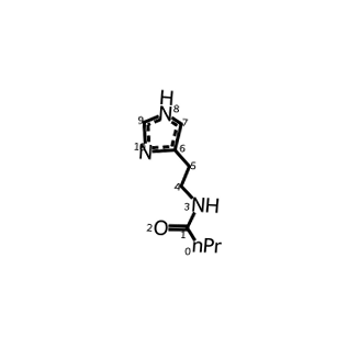 CCCC(=O)NCCc1c[nH]cn1